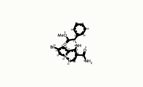 COC(=O)[C@@H](Nc1c(C(N)=O)cnn2cc(Br)cc12)c1ccccc1